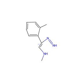 CN/C=C(\N=N)c1ccccc1C